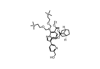 C=C(OCC)c1c([C@@H]2C[C@H]3CC[C@@H](C2)N3C(=O)OC(C)(C)C)nc2c(-c3ccc(CO)nc3)cnn2c1N(COCC[Si](C)(C)C)COCC[Si](C)(C)C